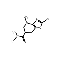 CCc1nc2c(s1)CC(C(=O)N(C)C)CN2C